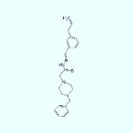 C=CCc1cccc(/C=N/NC(=O)CN2CCN(Cc3ccccc3)CC2)c1